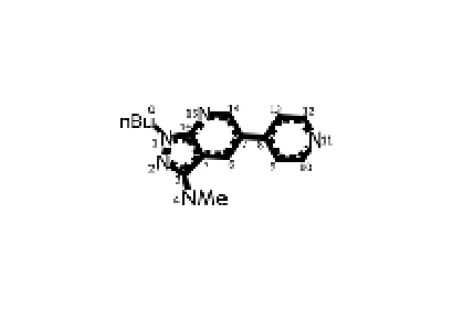 CCCCn1nc(NC)c2cc(-c3ccncc3)cnc21